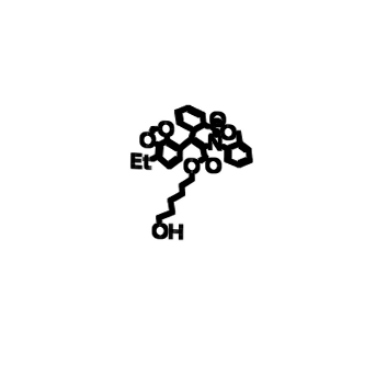 CCc1ccc(C2=C(C(=O)OCCCCCCO)N(c3ccccc3C)S(=O)(=O)C3C=CC=CC23)c2c1OCO2